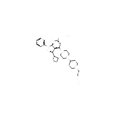 CCOCCN1CCC(N2CCN(c3cc(C(=O)O)nc4c3c(C3CCC3)nn4-c3ccccc3)CC2)CC1